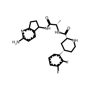 C[C@H](NC(=O)[C@H]1C[C@@H](c2cccc(F)c2F)CCN1)C(=O)NC1CCc2nc(N)ccc21